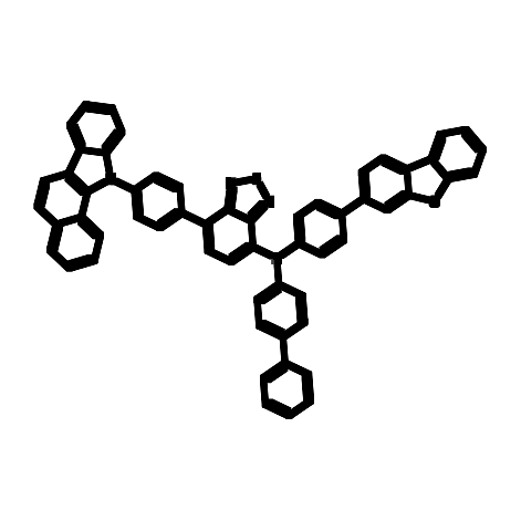 c1ccc(-c2ccc(N(c3ccc(-c4ccc5c(c4)oc4ccccc45)cc3)c3ccc(-c4ccc(-n5c6ccccc6c6ccc7ccccc7c65)cc4)c4nsnc34)cc2)cc1